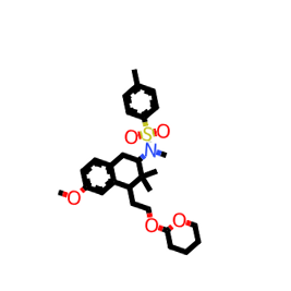 COc1ccc2c(c1)C(CCOC1CCCCO1)C(C)(C)C(N(C)S(=O)(=O)c1ccc(C)cc1)C2